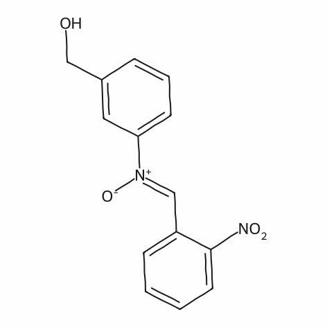 O=[N+]([O-])c1ccccc1C=[N+]([O-])c1cccc(CO)c1